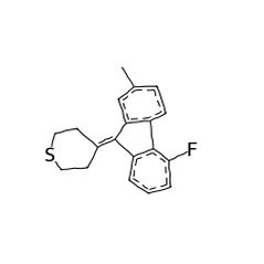 Cc1ccc2c(c1)C(=C1CCSCC1)c1cccc(F)c1-2